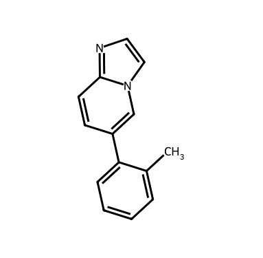 Cc1ccccc1-c1ccc2nccn2c1